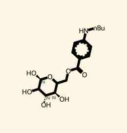 CCCCNc1ccc(C(=O)OCC2O[C@H](O)C(O)[C@@H](O)[C@@H]2O)cc1